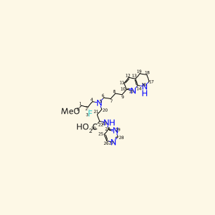 COC[C@@H](F)CN(CCCCc1ccc2c(n1)NCCC2)CCC(Nc1ccncn1)C(=O)O